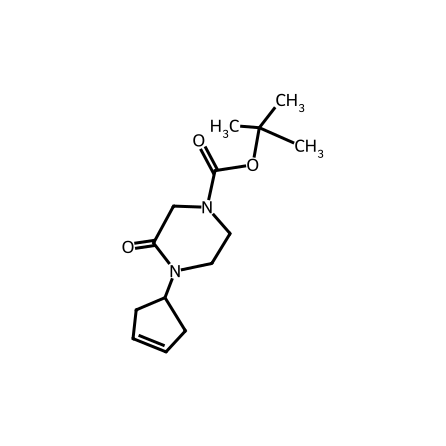 CC(C)(C)OC(=O)N1CCN(C2CC=CC2)C(=O)C1